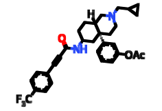 CC(=O)Oc1cccc([C@@]23CCN(CC4CC4)C[C@H]2CC[C@H](NC(=O)C#Cc2ccc(C(F)(F)F)cc2)C3)c1